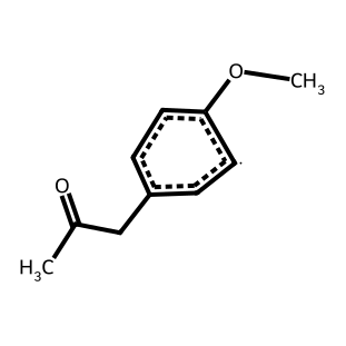 COc1[c]cc(CC(C)=O)cc1